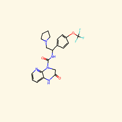 O=C1CN(C(=O)NC(CN2CCCC2)c2ccc(OC(F)(F)F)cc2)c2ncccc2N1